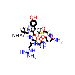 CC(=O)N[C@@](C=O)(CN[C@@H](Cc1ccc(O)cc1)C(=O)N[C@@H](CCCNC(=N)N)C(=O)N[C@@H](C)C(=O)N[C@@H](CC(N)=O)C(=O)N[C@@H](C)C(=O)SCC(F)(F)F)CC(C)C